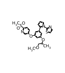 COC[C@H](C)Oc1cc(Oc2ccc(S(C)(=O)=O)nc2)cc(-c2cccn2-c2nccs2)c1